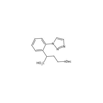 CCCCCCCCCCCCC(C(=O)O)c1ccccc1-n1ccnn1